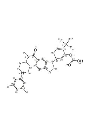 Cc1cc(N2CCC(N(C)C(=O)c3ccc4c(c3)C(N3C=C(OC(=O)O)C(C(F)(F)F)=CC3)CC4)CC2)cc(C)n1